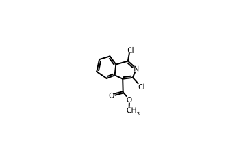 COC(=O)c1c(Cl)nc(Cl)c2ccccc12